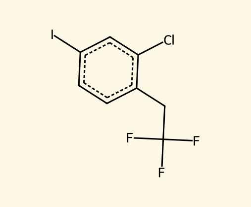 FC(F)(F)Cc1ccc(I)cc1Cl